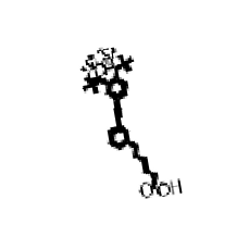 C[SiH](C)OC(c1ccc(C#Cc2cccc(CCCCCC(=O)O)c2)cc1C(O[SiH](C)C)C(C)(C)C)C(C)(C)C